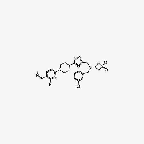 C/N=C\c1ccc(N2CCC(c3nnc4n3-c3ccc(Cl)cc3CN(C3CS(=O)(=O)C3)C4)CC2)nc1F